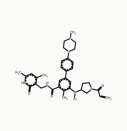 C=CC(=O)N1CCC(N(CC)c2cc(-c3ccc(N4CCN(C)CC4)cc3)cc(C(=O)NCc3c(C)cc(C)[nH]c3=O)c2C)C1